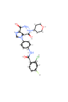 NC(=O)c1ncn(-c2ccc(NC(=O)c3ccc(F)cc3Cl)cc2)c1C(=O)NC1CCOCC1